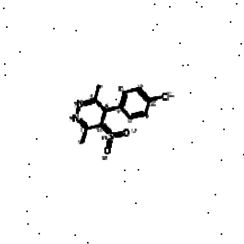 CC1=NN=C(C)C(c2ccc(Cl)cc2)C1=S(=O)=O